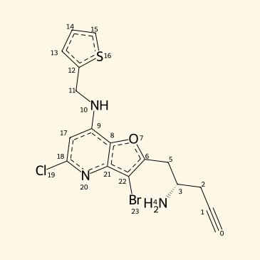 C#CC[C@H](N)Cc1oc2c(NCc3cccs3)cc(Cl)nc2c1Br